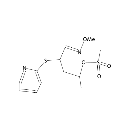 CON=CC(CC(C)OS(C)(=O)=O)Sc1ccccn1